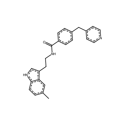 Cc1ccc2[nH]cc(CCNC(=O)c3ccc(Cc4ccncc4)cc3)c2c1